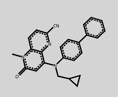 Cn1c(=O)cc(N(CC2CC2)c2ccc(-c3ccccc3)cc2)c2nc(C#N)ccc21